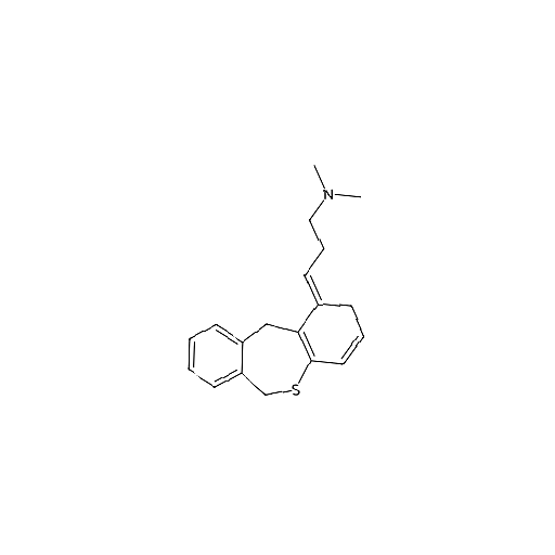 CN(C)CCC=C1CC=CC2=C1Cc1ccccc1CS2